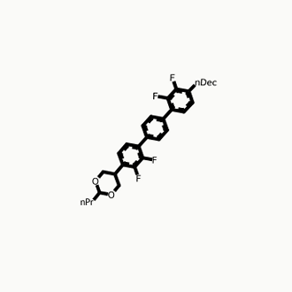 CCCCCCCCCCc1ccc(-c2ccc(-c3ccc(C4COC(CCC)OC4)c(F)c3F)cc2)c(F)c1F